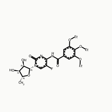 CCOc1cc(C(=O)Nc2nc(=O)n([C@@H]3O[C@H](C)[C@@H](O)[C@H]3O)cc2F)cc(OCC)c1OCC